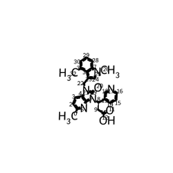 Cc1ccc2c(n1)n([C@H](CC(=O)O)c1cccnc1)c(=O)n2Cc1cn(C)c2cccc(C)c12